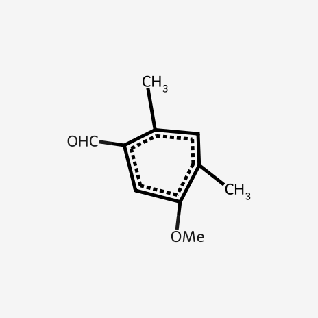 COc1cc(C=O)c(C)cc1C